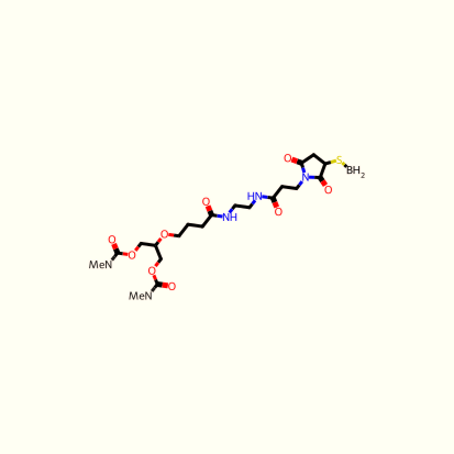 BSC1CC(=O)N(CCC(=O)NCCNC(=O)CCCOC(COC(=O)NC)COC(=O)NC)C1=O